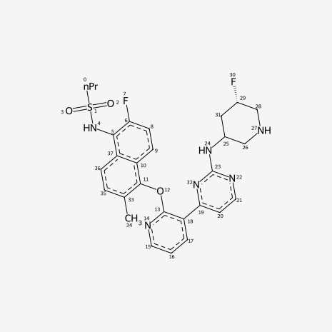 CCCS(=O)(=O)Nc1c(F)ccc2c(Oc3ncccc3-c3ccnc(NC4CNC[C@@H](F)C4)n3)c(C)ccc12